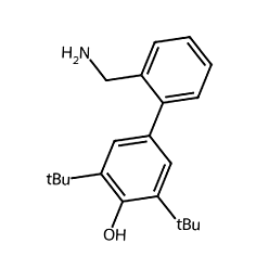 CC(C)(C)c1cc(-c2ccccc2CN)cc(C(C)(C)C)c1O